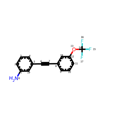 Nc1cccc(C#Cc2cccc(OC(F)(F)F)c2)c1